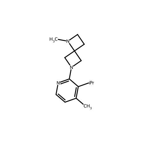 Cc1ccnc(N2CC3(CCN3C)C2)c1C(C)C